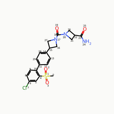 CS(=O)(=O)c1cc(Cl)ccc1-c1ccc(C2CN(C(=O)N3CC(C(N)=O)C3)C2)cc1